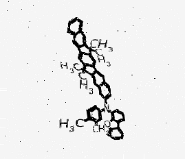 Cc1ccc(N(c2ccc3cc4c(cc3c2)C(C)(C)c2cc3c(cc2-4)C(C)(C)c2cc4ccccc4cc2-3)c2cccc3c2oc2ccccc23)cc1C